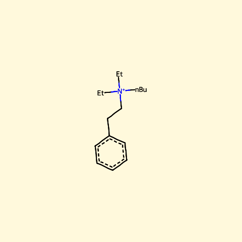 CCCC[N+](CC)(CC)CCc1ccccc1